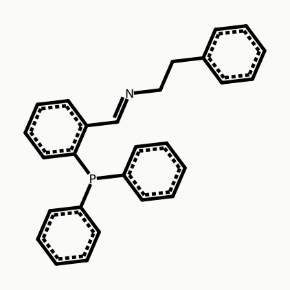 C(=NCCc1ccccc1)c1ccccc1P(c1ccccc1)c1ccccc1